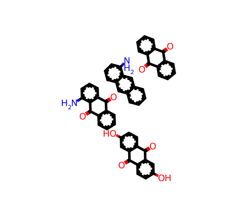 Nc1cccc2c1C(=O)c1ccccc1C2=O.Nc1cccc2cc3ccccc3cc12.O=C1c2ccc(O)cc2C(=O)c2ccc(O)cc21.O=C1c2ccccc2C(=O)c2ccccc21